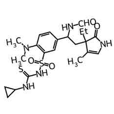 CCC1(CC(NC=O)c2ccc(N(C)C)c(S(=O)(=O)NC(=S)NC3CC3)c2)C(=O)NC=C1C